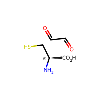 N[C@@H](CS)C(=O)O.O=CC=O